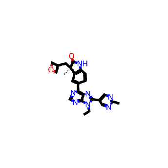 CCn1c(-c2cnc(C)nc2)nc2c(-c3ccc4c(c3)[C@@](C)(CC3COC3)C(=O)N4)ncnc21